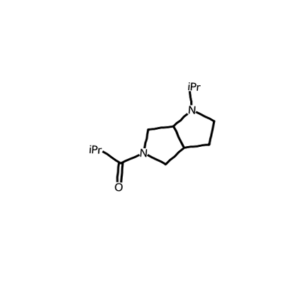 CC(C)C(=O)N1CC2CCN(C(C)C)C2C1